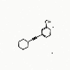 Oc1cccc(C#CC2CCCCC2)c1